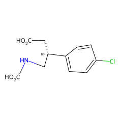 O=C(O)C[C@@H](CNC(=O)O)c1ccc(Cl)cc1